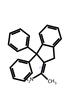 C/C(N)=C1\Cc2ccccc2C1(c1ccccc1)c1ccccc1